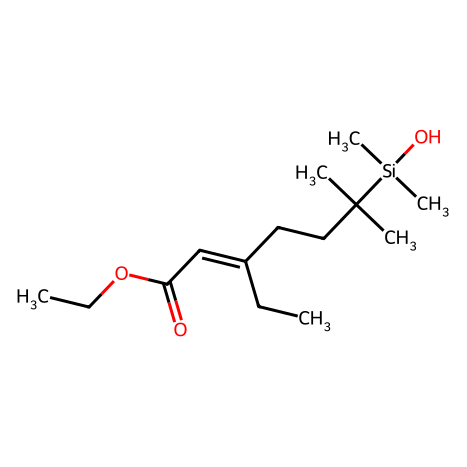 CCOC(=O)/C=C(\CC)CCC(C)(C)[Si](C)(C)O